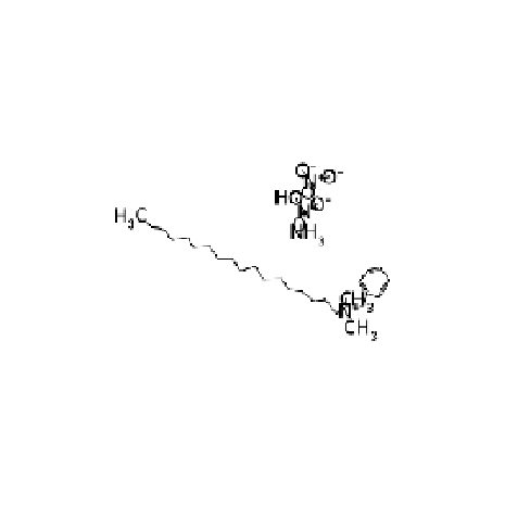 CCCCCCCCCCCCCCCCCC[N+](C)(C)Cc1ccccc1.N.O=[N+]([O-])O.O=[N+]([O-])[O-]